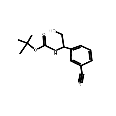 CC(C)(C)OC(=O)NC(CO)c1cccc(C#N)c1